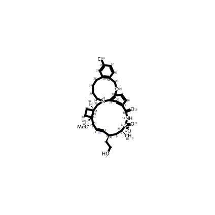 CO[C@H]1/C=C/[C@H](CCO)C[C@@H](C)S(=O)(=O)NC(=O)c2ccc3c(c2)N(CCCCc2cc(Cl)ccc2CO3)C[C@@H]2CC[C@H]21